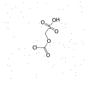 O=C(Cl)OCS(=O)(=O)O